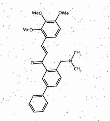 COc1ccc(/C=C/C(=O)c2cc(-c3ccccc3)ccc2CN(C)C)c(OC)c1OC